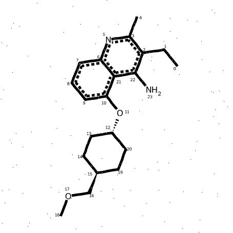 CCc1c(C)nc2cccc(O[C@H]3CC[C@H](COC)CC3)c2c1N